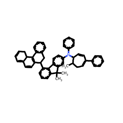 CC1CC=C(c2ccccc2)C=CC1N(c1ccccc1)c1ccc2c(c1)C(C)(C)c1cccc(C3Cc4ccccc4C4=C3C=CC3=CC=CCC34)c1-2